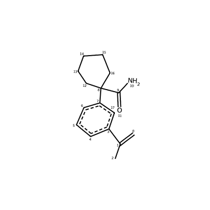 C=C(C)c1cccc(C2(C(N)=O)CCCCC2)c1